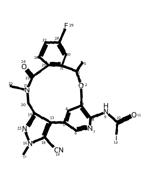 CC1Oc2cc(cnc2NC(=O)I)-c2c(nn(C)c2C#N)CN(C)C(=O)c2ccc(F)cc21